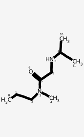 CCCN(C)C(=O)CNC(C)C